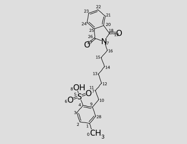 Cc1ccc(S(=O)(=O)O)c(CCCCCCCN2C(=O)c3ccccc3C2=O)c1